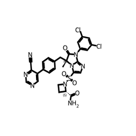 C[C@@]1(Cc2ccc(-c3cncnc3C#N)cc2)C(=O)N(c2cc(Cl)cc(Cl)c2)c2ncc(S(=O)(=O)N3CC[C@H]3C(N)=O)n21